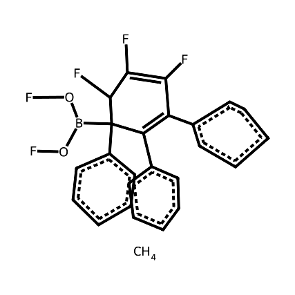 C.FOB(OF)C1(c2ccccc2)C(c2ccccc2)=C(c2ccccc2)C(F)=C(F)C1F